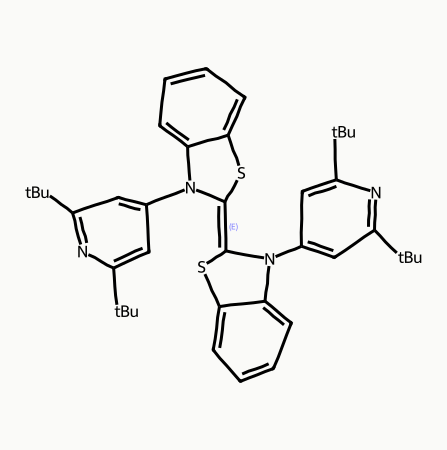 CC(C)(C)c1cc(N2/C(=C3\Sc4ccccc4N3c3cc(C(C)(C)C)nc(C(C)(C)C)c3)Sc3ccccc32)cc(C(C)(C)C)n1